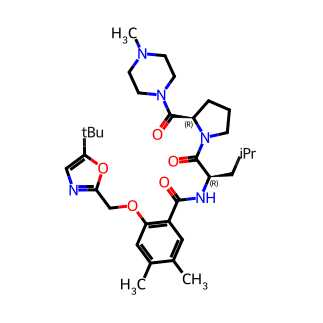 Cc1cc(OCc2ncc(C(C)(C)C)o2)c(C(=O)N[C@H](CC(C)C)C(=O)N2CCC[C@@H]2C(=O)N2CCN(C)CC2)cc1C